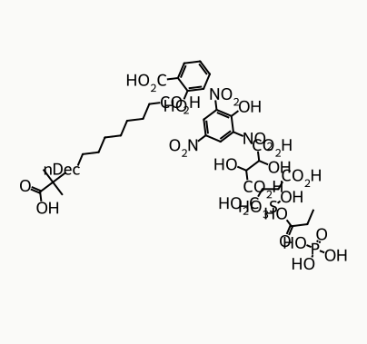 CC(C)(C)C(=O)O.CCC(=O)O.CCCCCCCCCCCCCCCCCC(=O)O.O=C(O)C(O)C(O)C(=O)O.O=C(O)CCC(=O)O.O=C(O)c1ccccc1O.O=P(O)(O)O.O=S(=O)(O)O.O=[N+]([O-])c1cc([N+](=O)[O-])c(O)c([N+](=O)[O-])c1